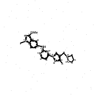 CSc1nn(C)c2ccc(Nc3nccc(-n4cc(CN5CCCO5)c(C)n4)n3)cc12